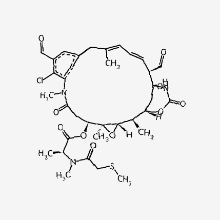 CSCC(=O)N(C)[C@@H](C)C(=O)O[C@H]1CC(=O)N(C)c2cc(cc(C=O)c2Cl)C/C(C)=C/C=C/[C@@H](C=O)[C@@]2(O)C[C@H](OC(=O)N2)[C@@H](C)[C@@H]2O[C@@]12C